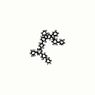 c1ccc(-c2ccc(-c3cc(-c4ccc(-c5ccc6c(c5)-c5cc7c(cc5C65CCCCC5)c5ccccc5n7-c5cccc(-c6ccccc6)c5)cc4)nc(-c4ccccc4)n3)cc2)cc1